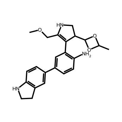 COCC1=C(c2cc(-c3ccc4c(c3)CCN4)ccc2N)C(C2OC(C)O2)CN1